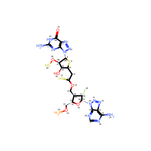 Nc1nc2c(nnn2[C@@H]2SC(CC(S)OC[C@H]3[C@H](F)[C@H](n4nnc5c(N)ncnc54)O[C@@H]3COP)[C@@H](O)[C@H]2OS)c(=O)[nH]1